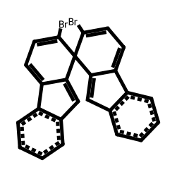 BrC1=CC=C2C(=Cc3ccccc32)C12C(Br)=CC=C1C2=Cc2ccccc21